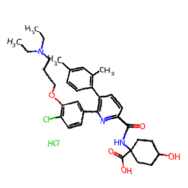 CCN(CC)CCCOc1cc(-c2nc(C(=O)NC3(C(=O)O)CCC(O)CC3)ccc2-c2ccc(C)cc2C)ccc1Cl.Cl